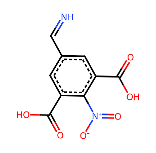 N=Cc1cc(C(=O)O)c([N+](=O)[O-])c(C(=O)O)c1